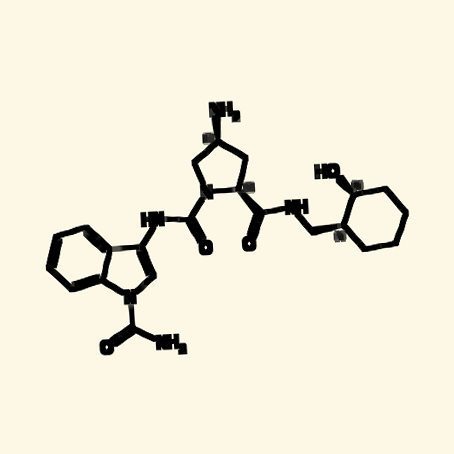 NC(=O)n1cc(NC(=O)N2C[C@@H](N)C[C@H]2C(=O)NC[C@@H]2CCCC[C@@H]2O)c2ccccc21